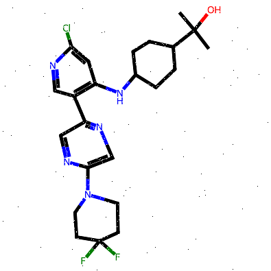 CC(C)(O)C1CCC(Nc2cc(Cl)ncc2-c2cnc(N3CCC(F)(F)CC3)cn2)CC1